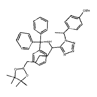 COc1ccc(C(C)n2nnnc2C(CCCCB2OC(C)(C)C(C)(C)O2)NC(c2ccccc2)(c2ccccc2)c2ccccc2)cc1